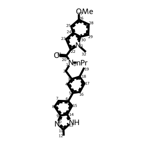 CCCN(Cc1cc(-c2ccc3nc(C)[nH]c3c2)ccc1C)C(=O)c1cc2cc(OC)ccc2n1C